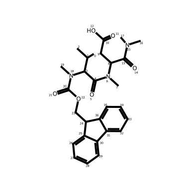 CC(C)C(C(=O)N(C)C(CC(=O)O)C(=O)N(C)C)N(C)C(=O)OCC1c2ccccc2-c2ccccc21